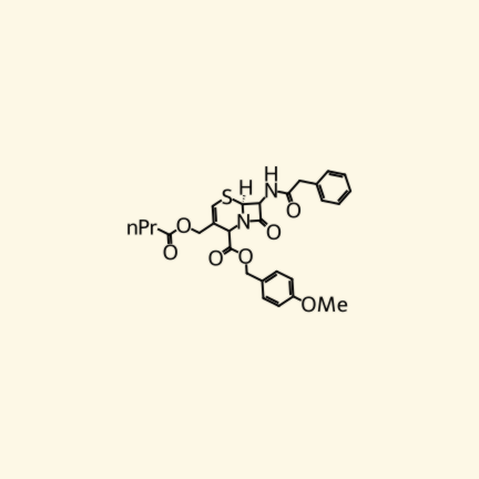 CCCC(=O)OCC1=CS[C@H]2C(NC(=O)Cc3ccccc3)C(=O)N2C1C(=O)OCc1ccc(OC)cc1